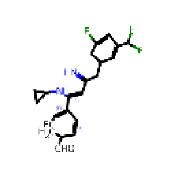 CC/C=C(\C=C/C(C)C=O)C(=C/C(=N)CC1C=C(C(F)F)C=C(F)C1)/NC1CC1